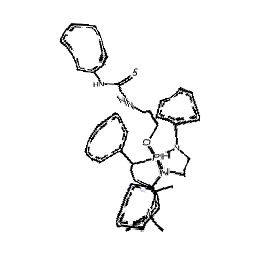 C/C(=C\C(c1ccccc1)[PH]1(OCCNC(=S)Nc2ccccc2)N(c2ccccc2)CCN1c1ccccc1)N(C)C